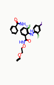 C=COCCONC(=O)c1cccc(F)c1Nc1ccc(I)cc1F.NC(=O)c1ccccc1